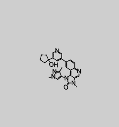 Cc1nn(C)cc1-n1c(=O)n(C)c2cnc3ccc(-c4cncc(C5(O)CCCC5)c4)cc3c21